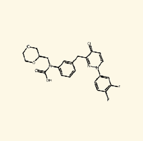 O=C(O)N(CC1COCCO1)c1cccc(Cc2nn(-c3ccc(F)c(F)c3)ccc2=O)c1